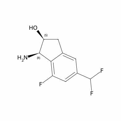 N[C@@H]1c2c(F)cc(C(F)F)cc2C[C@@H]1O